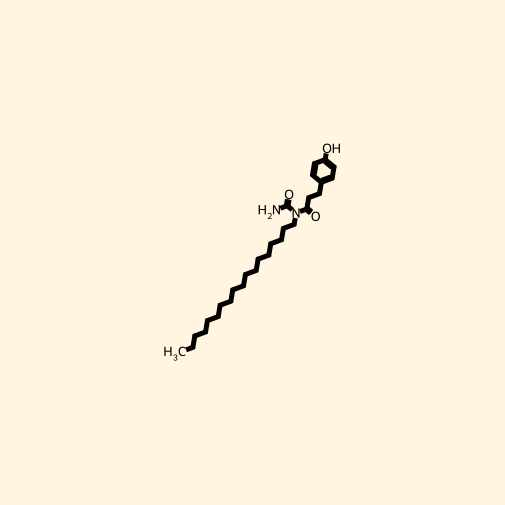 CCCCCCCCCCCCCCCCCCN(C(N)=O)C(=O)CCc1ccc(O)cc1